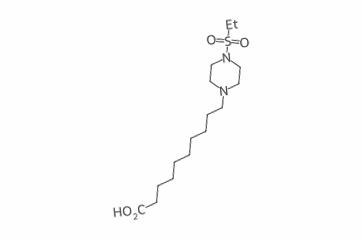 CCS(=O)(=O)N1CCN(CCCCCCCCCC(=O)O)CC1